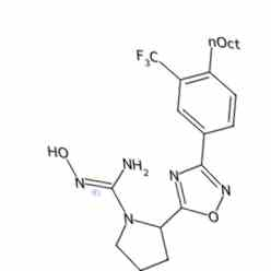 CCCCCCCCc1ccc(-c2noc(C3CCCN3/C(N)=N/O)n2)cc1C(F)(F)F